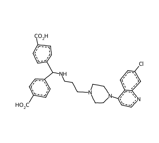 O=C(O)c1ccc(C(NCCCN2CCN(c3ccnc4cc(Cl)ccc34)CC2)c2ccc(C(=O)O)cc2)cc1